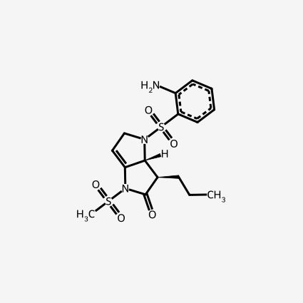 CCC[C@H]1C(=O)N(S(C)(=O)=O)C2=CCN(S(=O)(=O)c3ccccc3N)[C@@H]21